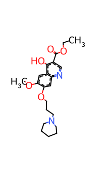 CCOC(=O)c1cnc2cc(OCCCN3CCCCC3)c(OC)cc2c1O